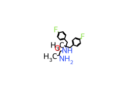 C[C@H](N)C(=O)NC(C)(Cc1ccc(F)cc1)Cc1ccc(F)cc1